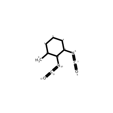 CC1CCCC(N=C=O)C1N=C=O